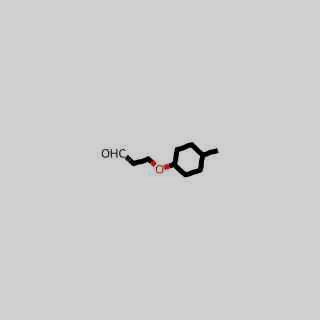 CC1CCC(OCCC=O)CC1